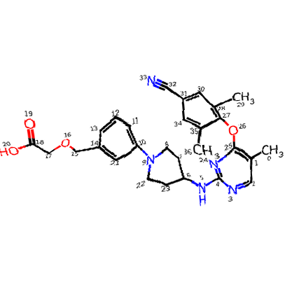 Cc1cnc(NC2CCN(c3cccc(COCC(=O)O)c3)CC2)nc1Oc1c(C)cc(C#N)cc1C